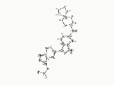 FC(F)Cn1nnc2ccc(-c3c[nH]c4nc(NC5CCC6(CC5)OCCO6)ncc34)cc21